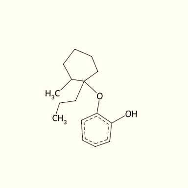 CCCC1(Oc2ccccc2O)CCCCC1C